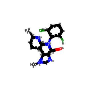 Cn1cnc2c(=O)n(-c3c(F)cccc3Cl)c3nc(C(F)(F)F)ccc3c21